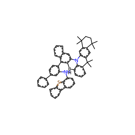 CC1(C)CCC(C)(C)c2cc3c(cc21)N1c2cc4ccccc4c(-c4ccc(-c5ccccc5)cc4Nc4cccc5c4sc4ccccc45)c2Bc2cccc(c21)C3(C)C